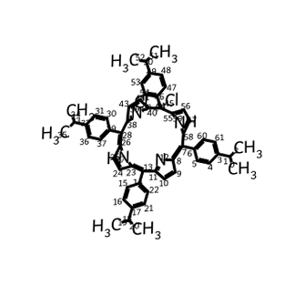 CC(C)c1ccc(C2=C3C=CC(=N3)C(c3ccc(C(C)C)cc3)=c3ccc([nH]3)=C(c3ccc(C(C)C)cc3)C3=N[C@](Cl)(C=C3)[C@@](Cl)(c3ccc(C(C)C)cc3)c3ccc2[nH]3)cc1